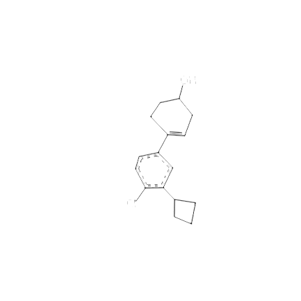 OC1CC=C(c2ccc(Cl)c(C3CCC3)c2)CC1